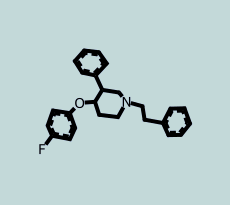 Fc1ccc(OC2CCN(CCc3ccccc3)CC2c2ccccc2)cc1